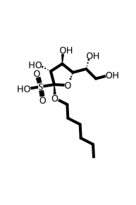 CCCCCCO[C@]1(S(=O)(=O)O)O[C@@H]([C@H](O)CO)[C@H](O)[C@H]1O